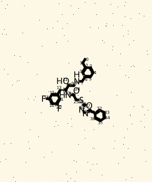 CCc1cccc(CNC[C@H](O)[C@H](Cc2cc(F)cc(F)c2)NC(=O)CSc2nnc(-c3ccccc3)o2)c1